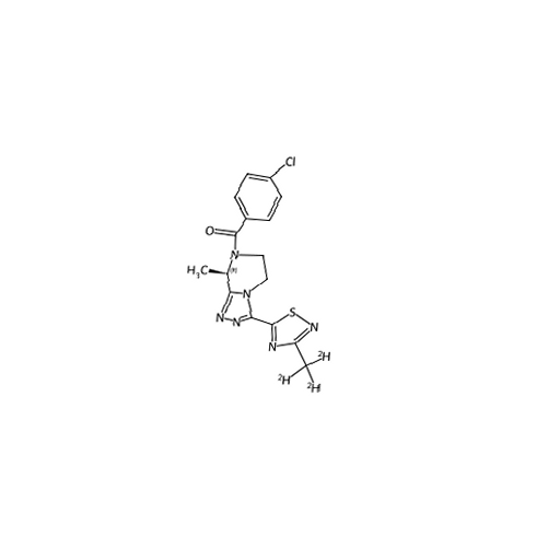 [2H]C([2H])([2H])c1nsc(-c2nnc3n2CCN(C(=O)c2ccc(Cl)cc2)[C@@H]3C)n1